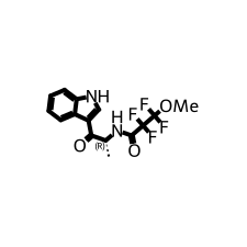 COC(F)(F)C(F)(F)C(=O)N[C@H](C)C(=O)c1c[nH]c2ccccc12